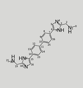 CNCc1ncc(-c2ccc(-c3ccc(-c4cnc(CNC)[nH]4)cc3)cc2)[nH]1